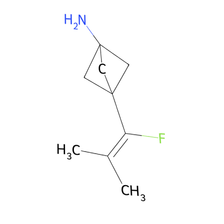 CC(C)=C(F)C12CC(N)(C1)C2